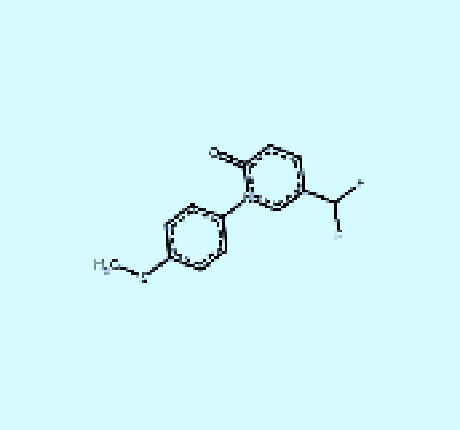 CSc1ccc(-n2cc(C(F)F)ccc2=O)cc1